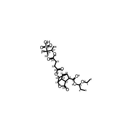 CCOC(CC)OC(=O)C1C2CC3C(OC(=O)C31)C2OC(=O)CCC(=O)OC(C)C(F)(F)S(=O)(=O)O